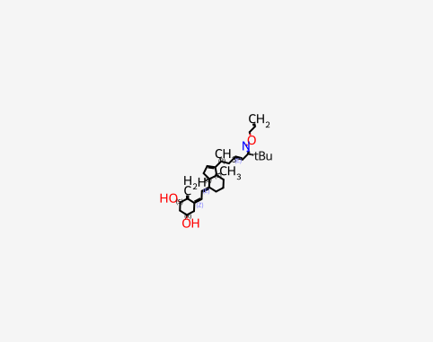 C=CCON=C(/C=C/C[C@@H](C)C1=CC[C@H]2/C(=C/C=C3/C[C@@H](O)C[C@H](O)C3=C)CCC[C@]12C)C(C)(C)C